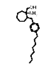 CCCCCCCCc1ccc(CC2CCCCCC2(N)CO)cc1